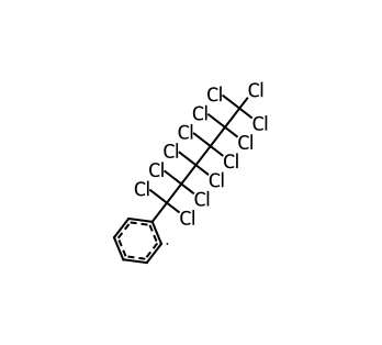 ClC(Cl)(Cl)C(Cl)(Cl)C(Cl)(Cl)C(Cl)(Cl)C(Cl)(Cl)C(Cl)(Cl)c1[c]cccc1